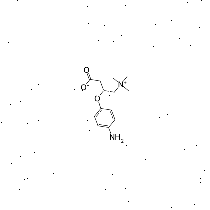 C[N+](C)(C)CC(CC(=O)[O-])Oc1ccc(N)cc1